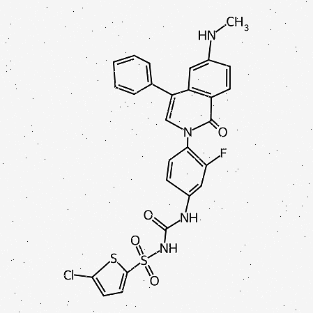 CNc1ccc2c(=O)n(-c3ccc(NC(=O)NS(=O)(=O)c4ccc(Cl)s4)cc3F)cc(-c3ccccc3)c2c1